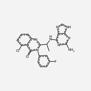 CC(Nc1nc(N)nc2[nH]cnc12)c1nc2cccc(Cl)c2c(=O)n1-c1cccc(F)c1